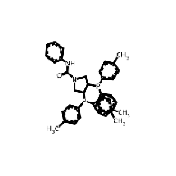 Cc1ccc(P(c2ccc(C)cc2)C2CN(C(=O)Nc3ccccc3)CC2P(c2ccc(C)cc2)c2ccc(C)cc2)cc1